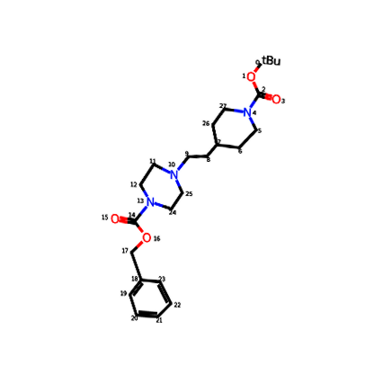 CC(C)(C)OC(=O)N1CCC(CCN2CCN(C(=O)OCc3ccccc3)CC2)CC1